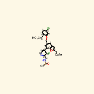 COCc1cc2cc(COc3cc(Br)ccc3CC(=O)O)cc(-c3ccnc(CN[S+]([O-])C(C)(C)C)c3F)c2o1